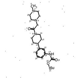 CN1CCN(CC(=O)N2CCC(c3cccc(NC(=O)OC(C)(C)C)c3)CC2)CC1